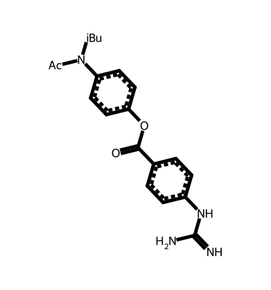 CCC(C)N(C(C)=O)c1ccc(OC(=O)c2ccc(NC(=N)N)cc2)cc1